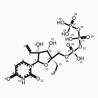 C=C[C@]1(O)C(n2ccc(=O)[nH]c2=O)O[C@](CF)(COP(=O)(O)OP(=O)(O)OP(=O)(O)O)[C@H]1O